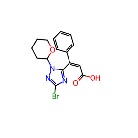 O=C(O)C=C(c1ccccc1)c1nc(Br)nn1C1CCCCO1